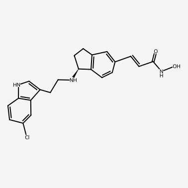 O=C(C=Cc1ccc2c(c1)CC[C@@H]2NCCc1c[nH]c2ccc(Cl)cc12)NO